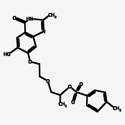 Cc1ccc(S(=O)(=O)OC(C)COCCOc2cc3nc(C)[nH]c(=O)c3cc2O)cc1